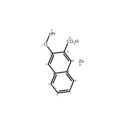 CCCOc1cc2ccccc2cc1C(=O)O.[Zn]